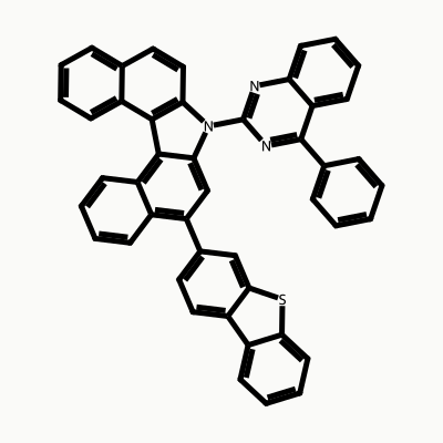 c1ccc(-c2nc(-n3c4ccc5ccccc5c4c4c5ccccc5c(-c5ccc6c(c5)sc5ccccc56)cc43)nc3ccccc23)cc1